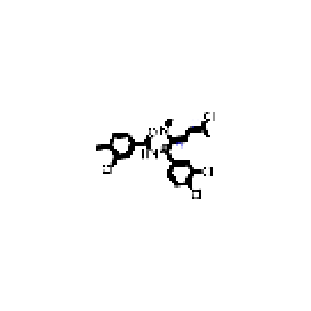 C=N/C(=C\C=C(/C)Cl)[C@@H](NC(=O)c1ccc(C)c(Cl)c1)c1ccc(Cl)c(Cl)c1